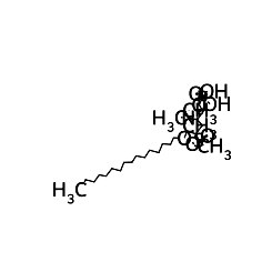 CCCCCCCCCCCCCCCCOCC(CC(COP(=O)(O)O)[N+](C)(C)C)S(C)(=O)=O